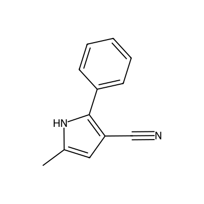 Cc1cc(C#N)c(-c2ccccc2)[nH]1